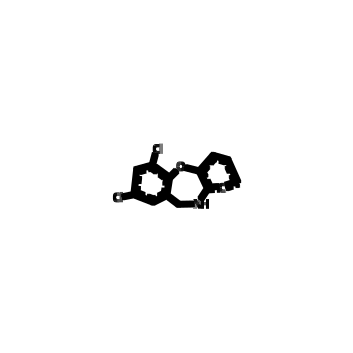 Clc1cc(Cl)c2c(c1)CNc1ccccc1O2